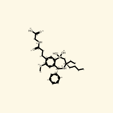 CCCC[C@]1(CC)CS(O)(O)c2cc(CCC(=O)NCC(=O)O)c(OC)cc2[C@@H](c2ccccc2)N1